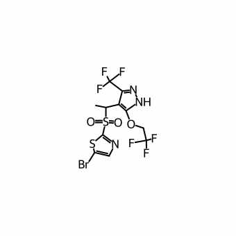 CC(c1c(C(F)(F)F)n[nH]c1OCC(F)(F)F)S(=O)(=O)c1ncc(Br)s1